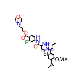 C=C/C=C(\N/C(=C\C(=N)C(=O)Nc1ccc(C(=O)OCCCN2CCOCC2)c(F)c1)CC)c1ccc(C2CC2C)c(OC)c1